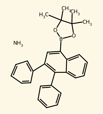 CC1(C)OB(c2cc(-c3ccccc3)c(-c3ccccc3)c3ccccc23)OC1(C)C.N